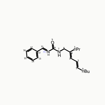 CCCCC=CC=C(CCC)CNC(=O)/N=C/c1ccccc1